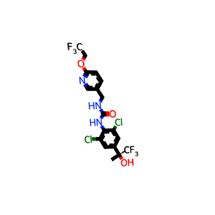 C[C@](O)(c1cc(Cl)c(NC(=O)NCc2ccc(OCC(F)(F)F)nc2)c(Cl)c1)C(F)(F)F